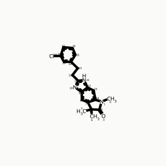 CN1C(=O)C(C)(C)c2cc3nc(CCc4cccc(Cl)c4)[nH]c3cc21